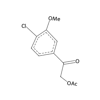 COc1cc(C(=O)COC(C)=O)ccc1Cl